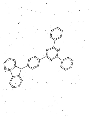 c1ccc(-c2nc(-c3ccccc3)nc(-c3ccc(C4c5ccccc5-c5ccccc54)cc3)n2)cc1